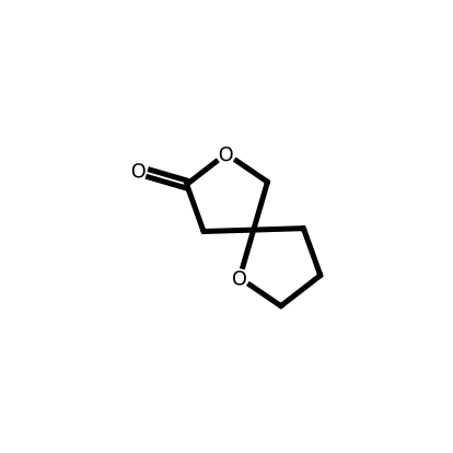 O=C1CC2(CCCO2)CO1